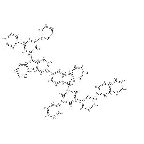 c1ccc(-c2cc(-c3ccccc3)cc(-n3c4ccccc4c4cc(-c5ccc6c(c5)c5ccccc5n6-c5nc(-c6ccccc6)nc(-c6cccc(-c7ccc8ccccc8c7)c6)n5)ccc43)c2)cc1